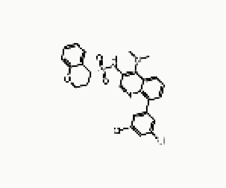 CN(C)c1c(NS(=O)(=O)[C@@H]2CCOc3ccccc32)cnc2c(-c3cc(Cl)cc(Cl)c3)cccc12